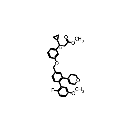 COC(=O)C[C@@H](c1cccc(OCc2ccc(-c3cc(OC)ccc3F)c(C3=CCOCC3)c2)c1)C1CC1